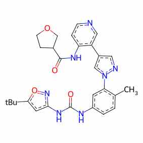 Cc1ccc(NC(=O)Nc2cc(C(C)(C)C)on2)cc1-n1cc(-c2cnccc2NC(=O)C2CCOC2)cn1